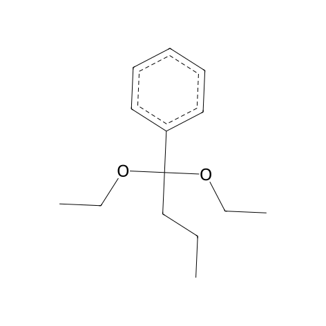 CCCC(OCC)(OCC)c1ccccc1